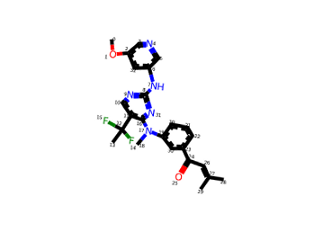 COc1cncc(Nc2ncc(C(C)(F)F)c(N(C)c3cccc(C(=O)C=C(C)C)c3)n2)c1